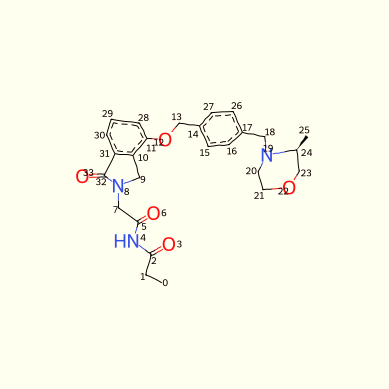 CCC(=O)NC(=O)CN1Cc2c(OCc3ccc(CN4CCOC[C@@H]4C)cc3)cccc2C1=O